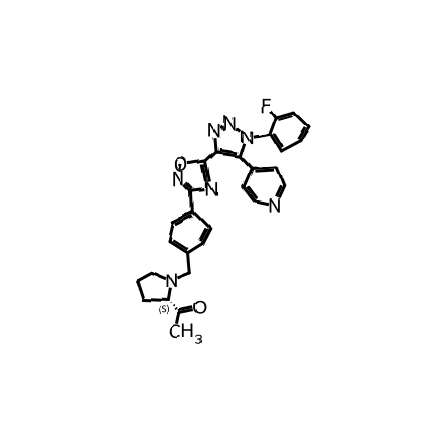 CC(=O)[C@@H]1CCCN1Cc1ccc(-c2noc(-c3nnn(-c4ccccc4F)c3-c3ccncc3)n2)cc1